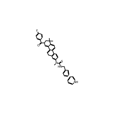 C1=CC=CNC=C1.CN(C(=S)NCc1ccccc1)c1ccc2c(c1)CC=c1c-2ccc2c1=CC(C(=O)c1ccc(F)cc1)CC2(C)C